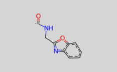 O=[C]NCc1nc2ccccc2o1